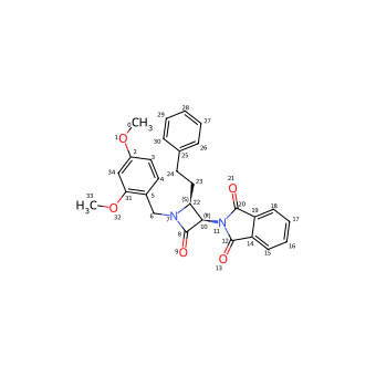 COc1ccc(CN2C(=O)[C@H](N3C(=O)c4ccccc4C3=O)[C@@H]2CCc2ccccc2)c(OC)c1